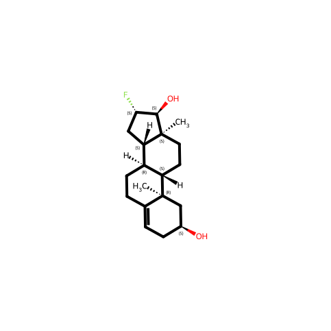 C[C@]12CC[C@H]3[C@@H](CCC4=CC[C@H](O)C[C@@]43C)[C@@H]1C[C@H](F)[C@H]2O